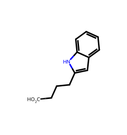 O=C(O)CCCc1cc2ccccc2[nH]1